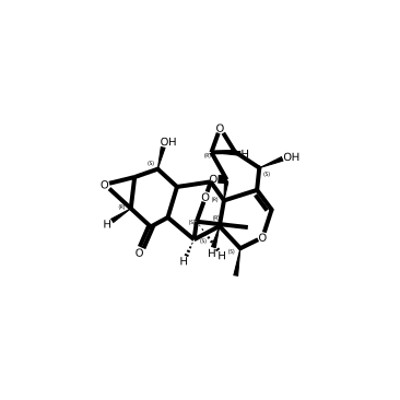 C[C@@H]1OC2C3C(C(=O)[C@@H]4OC4[C@H]3O)[C@@H]1[C@H]1[C@H](C)OC=C3[C@H](O)C4O[C@H]4C(=O)[C@]321